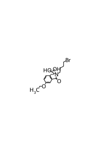 CCOc1ccc2c(c1)C(=O)N(CCCCBr)S2(O)O